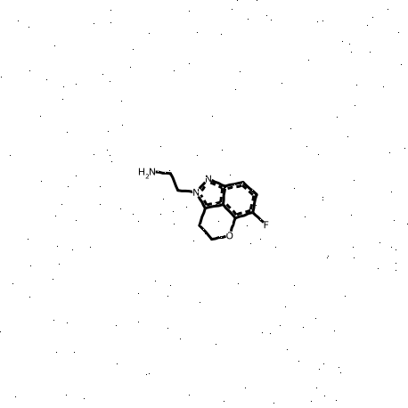 NCCn1nc2ccc(F)c3c2c1CCO3